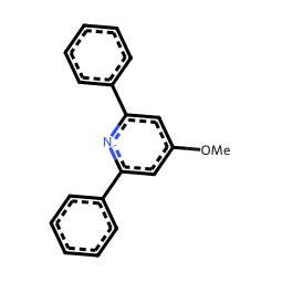 COc1cc(-c2ccccc2)nc(-c2ccccc2)c1